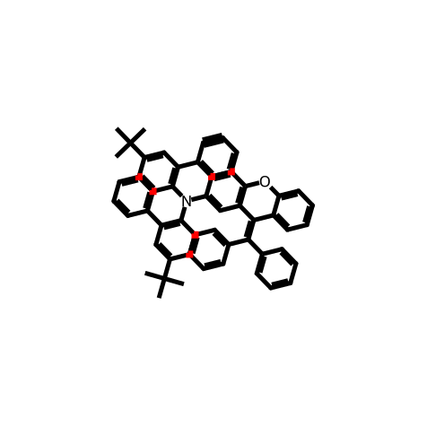 CC(C)(C)C1=CC(c2ccccc2)=C(N(c2ccc3c(c2)C(=C(c2ccccc2)c2ccccc2)c2ccccc2O3)c2ccc(C(C)(C)C)cc2-c2c#cccc2)CC1